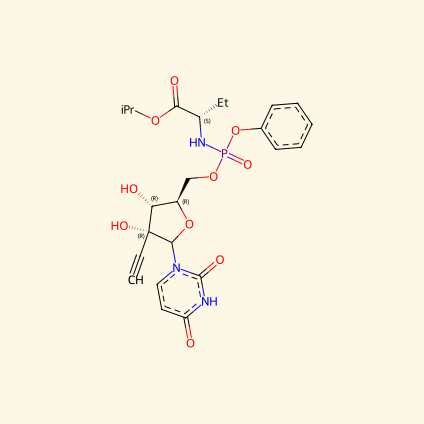 C#C[C@]1(O)C(n2ccc(=O)[nH]c2=O)O[C@H](COP(=O)(N[C@@H](CC)C(=O)OC(C)C)Oc2ccccc2)[C@H]1O